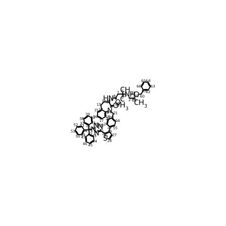 C[C@H](CNC(C)(C)CC(=O)N[C@@H]1CCc2ccccc2N(Cc2ccc(-c3ccsc3-c3nnn(C(c4ccccc4)(c4ccccc4)c4ccccc4)n3)cc2)C1=O)OCc1ccccc1